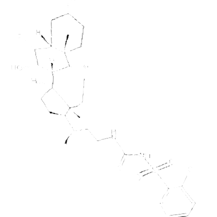 CC[C@H]1[C@@H](O)[C@@H]2[C@H](CC[C@]3(C)[C@@H]([C@H](C)CCNC(=O)NS(=O)(=O)c4ccccc4Cl)CC[C@@H]23)[C@@]2(C)CC[C@@H](O)C[C@@H]12